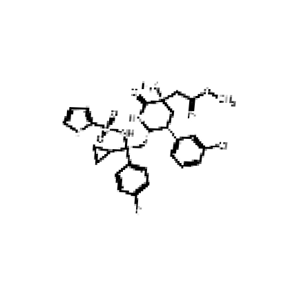 COC(=O)C[C@]1(C)C[C@H](c2cccc(Cl)c2)[C@H](C[C@@](NS(=O)(=O)c2cccs2)(c2ccc(Cl)cc2)C2CC2)NC1=O